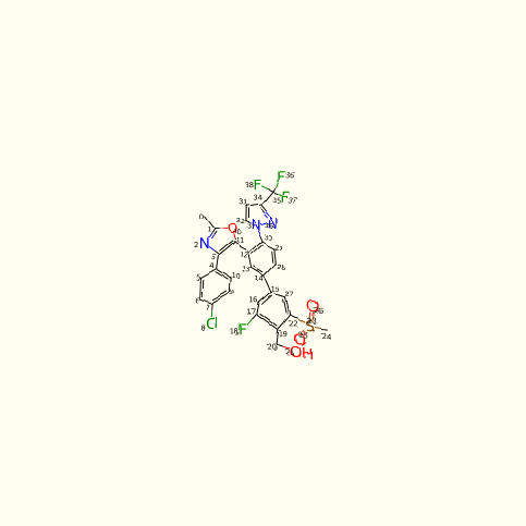 Cc1nc(-c2ccc(Cl)cc2)c(-c2cc(-c3cc(F)c(CO)c(S(C)(=O)=O)c3)ccc2-n2ccc(C(F)(F)F)n2)o1